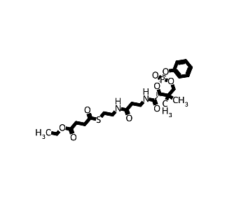 CCOC(=O)CCC(=O)SCCNC(=O)CCNC(=O)[C@@H]1OP(=O)(Oc2ccccc2)OCC1(C)C